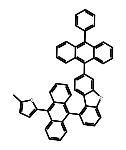 Cc1ccc(-c2c3ccccc3c(-c3cccc4oc5cc(-c6c7ccccc7c(-c7ccccc7)c7ccccc67)ccc5c34)c3ccccc23)o1